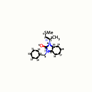 CS/C=C(\C)n1c(=O)n(Cc2ccccc2)c2ccccc21